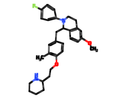 COc1ccc2c(c1)CCN(c1ccc(F)cc1)C2Cc1ccc(OCCC2CCCCN2)c(C)c1